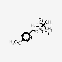 COc1ccc(CO[Si](C)(C)C(C)(C)C)nc1